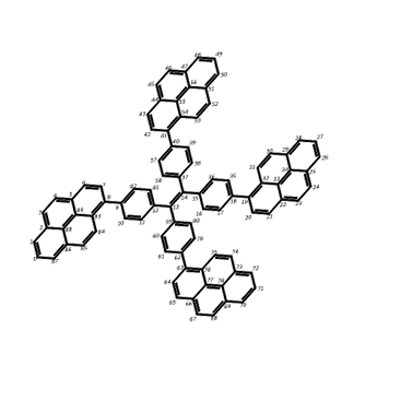 c1cc2ccc3ccc(-c4ccc(C(=C(c5ccc(-c6ccc7ccc8cccc9ccc6c7c89)cc5)c5ccc(-c6ccc7ccc8cccc9ccc6c7c89)cc5)c5ccc(-c6ccc7ccc8cccc9ccc6c7c89)cc5)cc4)c4ccc(c1)c2c34